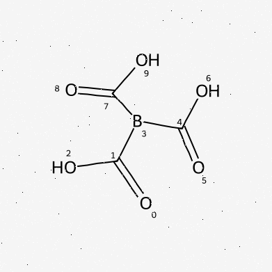 O=C(O)B(C(=O)O)C(=O)O